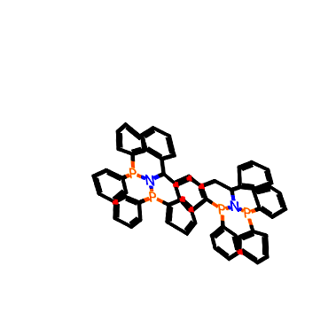 c1ccc(C(CCCCC(c2ccccc2)N(P(c2ccccc2)c2ccccc2)P(c2ccccc2)c2ccccc2)N(P(c2ccccc2)c2ccccc2)P(c2ccccc2)c2ccccc2)cc1